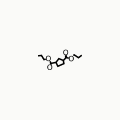 CCCOC(=O)C1CCC(C(=O)OCCC)C1